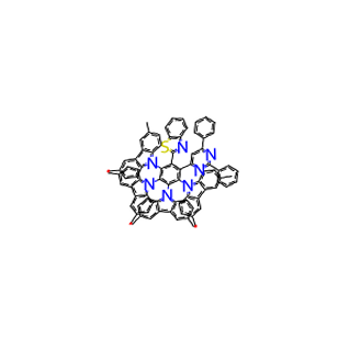 Cc1ccc2c(c1)c1cc(C)ccc1n2-c1c(-c2cc(-c3ccccc3)nc(-c3ccccc3)n2)c(-c2nc3ccccc3s2)c(-n2c3ccc(C)cc3c3cc(C)ccc32)c(-n2c3ccc(C)cc3c3cc(C)ccc32)c1-n1c2ccc(C)cc2c2cc(C)ccc21